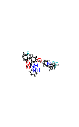 O=C(NC(=O)[C@@H]1CCCCN1)c1cc(OCC2CCN(CC3(C(F)(F)F)CCC3)CC2)ccc1-c1ccccc1F